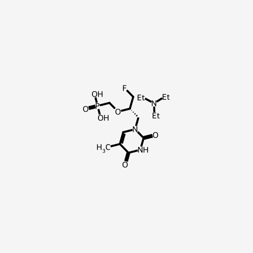 CCN(CC)CC.Cc1cn(C[C@@H](CF)OCP(=O)(O)O)c(=O)[nH]c1=O